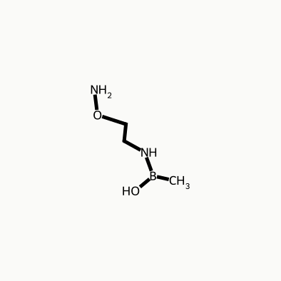 CB(O)NCCON